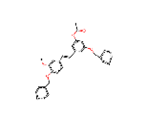 COc1cc(C=Cc2cc(OCc3ccccc3)cc(OC(C)=O)c2)ccc1OCc1ccccc1